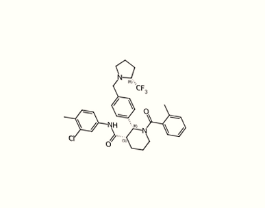 Cc1ccc(NC(=O)[C@H]2CCCN(C(=O)c3ccccc3C)[C@H]2c2ccc(CN3CCC[C@@H]3C(F)(F)F)cc2)cc1Cl